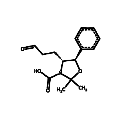 CC1(C)O[C@H](c2ccccc2)[C@@H](CCC=O)N1C(=O)O